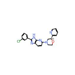 Clc1cccc(-c2nc3ccc(N4CCO[C@H](c5ccccn5)C4)nc3[nH]2)c1